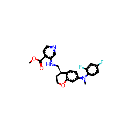 COC(=O)c1ccncc1NC[C@@H]1CCOc2cc(N(C)c3ccc(F)cc3F)ccc21